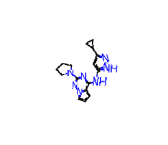 c1cc2c(Nc3cc(C4CC4)n[nH]3)nc(N3CCCC3)nn2c1